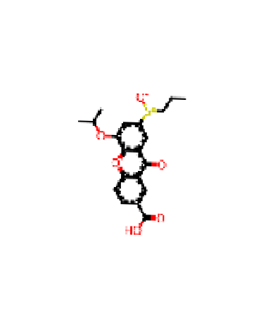 CCC[S+]([O-])c1cc(OC(C)C)c2oc3ccc(C(=O)O)cc3c(=O)c2c1